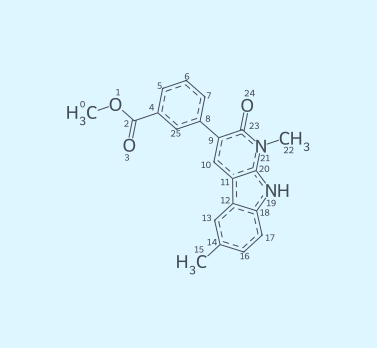 COC(=O)c1cccc(-c2cc3c4cc(C)ccc4[nH]c3n(C)c2=O)c1